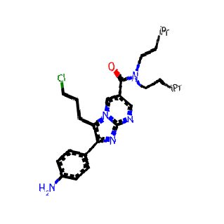 CC(C)CCN(CCC(C)C)C(=O)c1cnc2nc(-c3ccc(N)cc3)c(CCCCl)n2c1